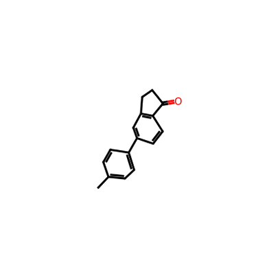 Cc1ccc(-c2ccc3c(c2)CCC3=O)cc1